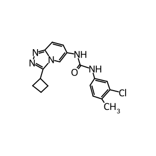 Cc1ccc(NC(=O)Nc2ccc3nnc(C4CCC4)n3c2)cc1Cl